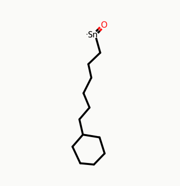 [O]=[Sn][CH2]CCCCCC1CCCCC1